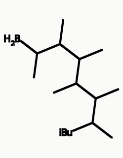 BC(C)C(C)C(C)C(C)C(C)C(C)C(C)CC